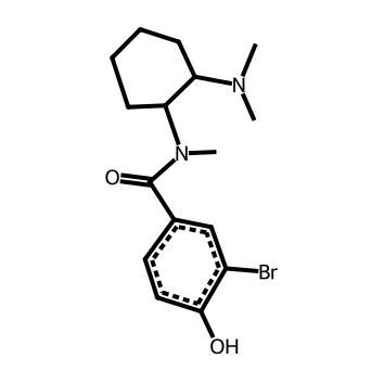 CN(C)C1CCCCC1N(C)C(=O)c1ccc(O)c(Br)c1